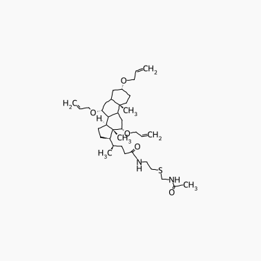 C=CCO[C@@H]1CC[C@@]2(C)C(C1)C[C@@H](OCC=C)C1C2C[C@H](OCC=C)[C@]2(C)[C@@H]([C@H](C)CCC(=O)NCCSCNC(C)=O)CC[C@@H]12